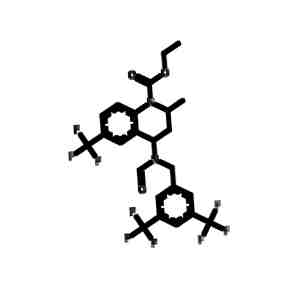 CCOC(=O)N1c2ccc(C(F)(F)F)cc2C(N(C=O)Cc2cc(C(F)(F)F)cc(C(F)(F)F)c2)CC1C